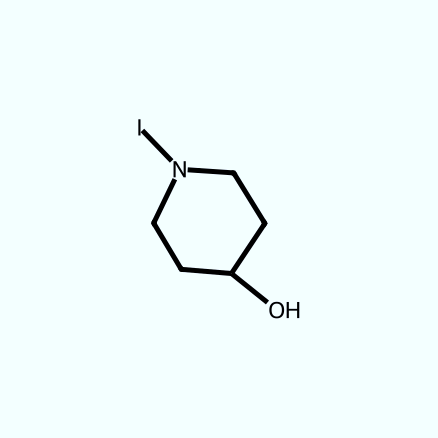 OC1CCN(I)CC1